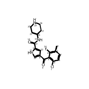 Cc1ccc(Cl)c(C(=O)c2c[nH]c(C(=O)NC3CCNCC3)c2)c1F